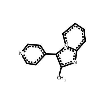 Cc1nc2ccccn2c1-c1ccncc1